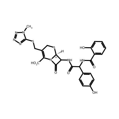 Cn1nnnc1SCC1=C(C(=O)O)N2C(=O)C(NC(=O)C(NC(=O)c3ccccc3O)c3ccc(O)cc3)[C@@H]2SC1